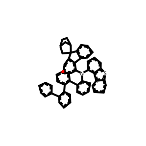 c1ccc(-c2ccccc2-c2ccccc2-c2ccccc2N(c2cccc3c2-c2ccccc2C32CC3CCC2C3)c2cccc3sc4ccccc4c23)cc1